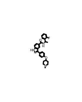 CC(NC(=O)c1ccc2[nH]nc(-c3ccc(OC4CCN(C)CC4)cc3)c2c1)c1ccccc1F